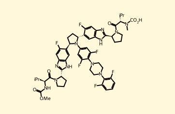 COC(=O)N[C@H](C(=O)N1CCC[C@H]1c1nc2cc(F)c([C@H]3CC[C@H](c4cc5[nH]c([C@@H]6CCCN6C(=O)[C@H](C(C)C)N(C)C(=O)O)nc5cc4F)N3c3cc(F)c(N4CCN(c5c(F)cccc5F)CC4)c(F)c3)cc2[nH]1)C(C)C